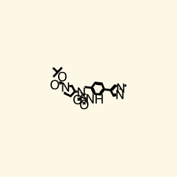 Cn1cc(-c2ccc3c(c2)NS(=O)(=O)N(C2CCN(C(=O)OC(C)(C)C)C2)C3)cn1